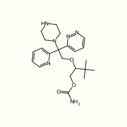 CC(C)(C)C(COC(N)=O)OCC(c1ccccn1)(c1cccnn1)N1CCNCC1